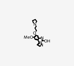 COc1cc2c(cc1OCCCN1CCCC1)nc(O)n1nccc21